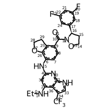 CCNc1cc(Nc2ccc(C(=O)N3OCC[C@@H]3c3cc(F)cc(F)c3)c3c2OCC3)nc2[nH]cc(C(F)(F)F)c12